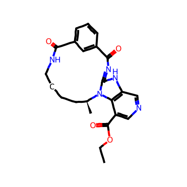 CCOC(=O)c1cncc2c1N1/C(=N/C(=O)c3cccc(c3)C(=O)NCCCC[C@@H]1C)N2